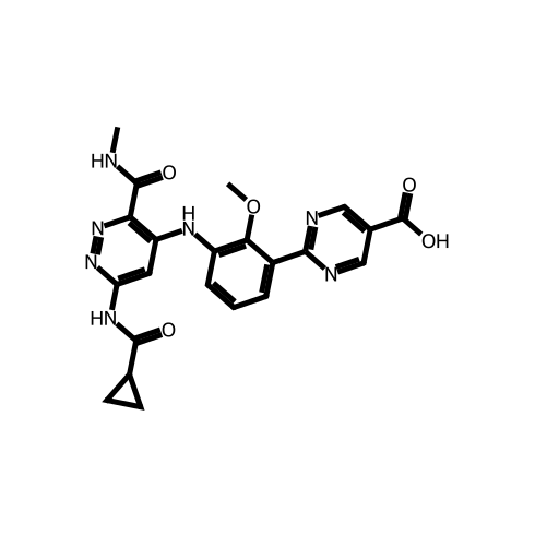 CNC(=O)c1nnc(NC(=O)C2CC2)cc1Nc1cccc(-c2ncc(C(=O)O)cn2)c1OC